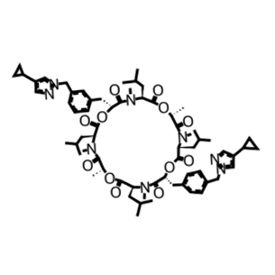 CC(C)C[C@H]1C(=O)O[C@H](Cc2cccc(Cn3cc(C4CC4)cn3)c2)C(=O)N(C)[C@@H](CC(C)C)C(=O)O[C@H](C)C(=O)N(C)[C@@H](CC(C)C)C(=O)O[C@H](Cc2ccc(Cn3cc(C4CC4)cn3)cc2)C(=O)N(C)[C@@H](CC(C)C)C(=O)O[C@H](C)C(=O)N1C